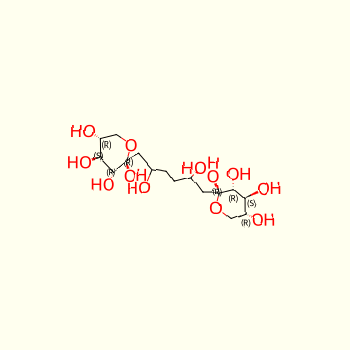 OC(CCC(O)C[C@@]1(O)OC[C@@H](O)[C@H](O)[C@H]1O)C[C@@]1(O)OC[C@@H](O)[C@H](O)[C@H]1O